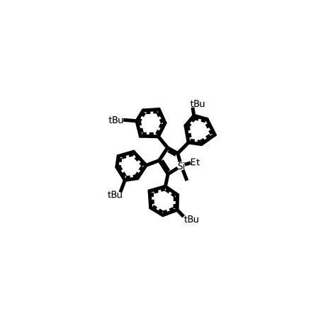 CC[Si]1(C)C(c2cccc(C(C)(C)C)c2)=C(c2cccc(C(C)(C)C)c2)C(c2cccc(C(C)(C)C)c2)=C1c1cccc(C(C)(C)C)c1